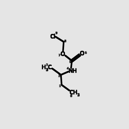 CCC(C)NC(=O)OCCl